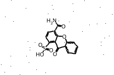 NC(=O)c1ccc(S(=O)(=O)O)c2c(=O)c3ccccc3oc12